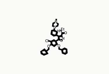 CCNC(=O)c1noc(-c2cc(Cl)c(OCc3ccccc3)cc2OCc2ccccc2)c1-c1cccc(N2CCN(C)CC2)c1